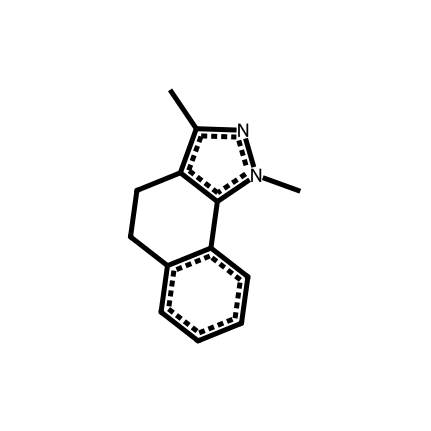 Cc1nn(C)c2c1CCc1ccccc1-2